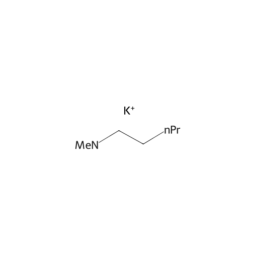 CCCCC[N-]C.[K+]